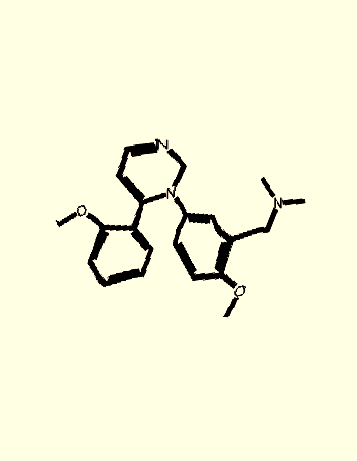 COc1ccc(N2CN=CC=C2c2ccccc2OC)cc1CN(C)C